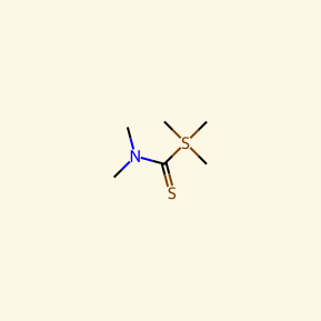 CN(C)C(=S)S(C)(C)C